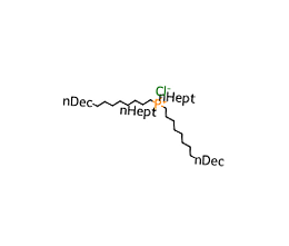 CCCCCCCCCCCCCCCCCC[P+](CCCCCCC)(CCCCCCC)CCCCCCCCCCCCCCCCCC.[Cl-]